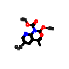 C=C(C)c1cc([N+](=O)[O-])cnc1N(C(=O)OC(C)(C)C)C(=O)OC(C)(C)C